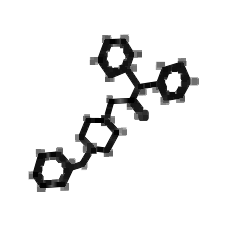 O=C(CN1CCN(Cc2ccccc2)CC1)C(c1ccccc1)c1ccccc1